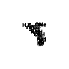 COCC1(c2c(NC(=O)Nc3cnc(-n4nccn4)c(Cl)c3)cnc3sc(C)nc23)CC1